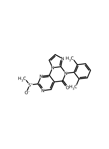 Cc1cccc(C)c1-n1c(=O)c2cnc([S+](C)[O-])nc2n2ccnc12